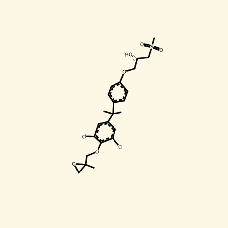 CC1(COc2c(Cl)cc(C(C)(C)c3ccc(OC[C@H](O)CS(C)(=O)=O)cc3)cc2Cl)CO1